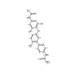 CCC(=O)Nc1cc(Cl)c(Oc2ccc(O)c(-c3ccc(NC(N)=O)cc3)c2)c(Cl)c1